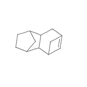 C1=C2CC1C1C3CCC(C3)C1C2